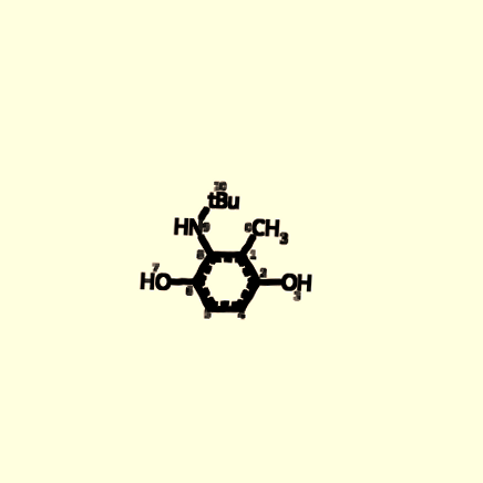 Cc1c(O)ccc(O)c1NC(C)(C)C